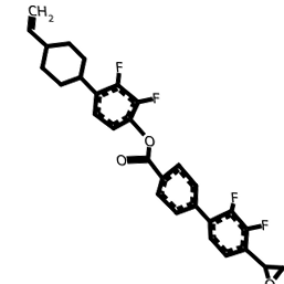 C=CC1CCC(c2ccc(OC(=O)c3ccc(-c4ccc(C5CO5)c(F)c4F)cc3)c(F)c2F)CC1